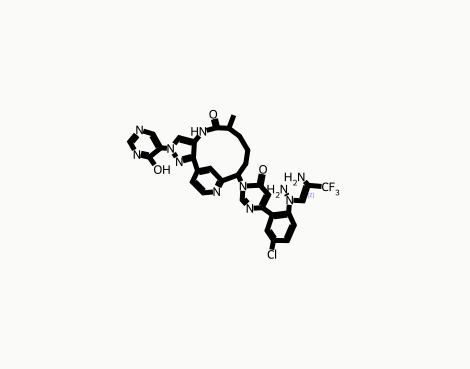 CC1CCCC(n2cnc(-c3cc(Cl)ccc3N(N)/C=C(\N)C(F)(F)F)cc2=O)c2cc(ccn2)-c2nn(-c3cncnc3O)cc2NC1=O